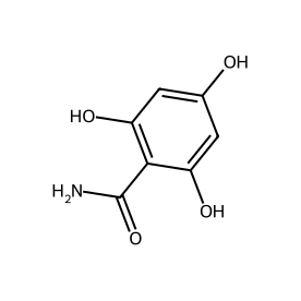 NC(=O)c1c(O)cc(O)cc1O